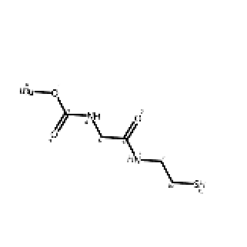 CC(C)(C)OC(=O)NCC(=O)NCCS